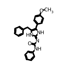 COc1ccc(-c2[nH]/c(=N/C(=O)Nc3ccccc3)[nH]c2Cc2ccccc2)cc1